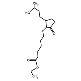 CCOC(=O)CCCCCCC1C(=O)CCC1CCC(C)O